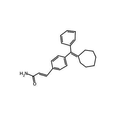 NC(=O)C=Cc1ccc(C(=C2CCCCCC2)c2ccccc2)cc1